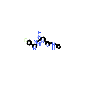 Fc1ccc(-c2cncc3[nH]c(-c4n[nH]c5ccc(-c6cncc(CNCC7CCCC7)c6)nc45)nc23)cc1